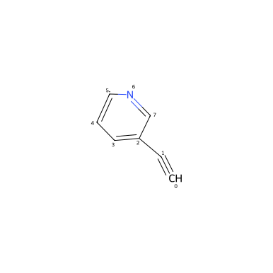 C#Cc1cc[c]nc1